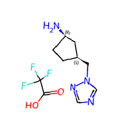 N[C@@H]1CC[C@H](Cn2cncn2)C1.O=C(O)C(F)(F)F